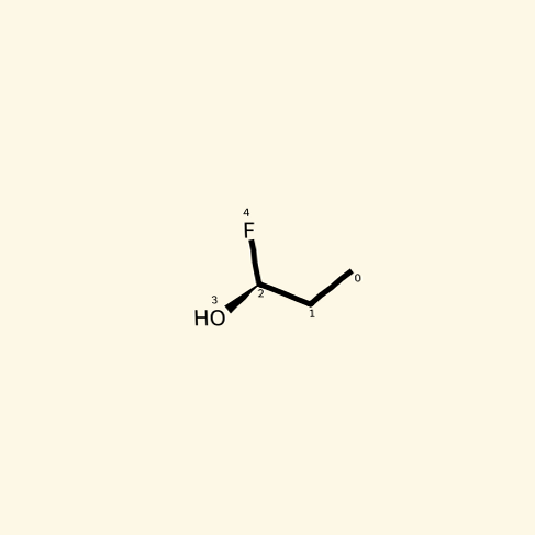 CC[C@@H](O)F